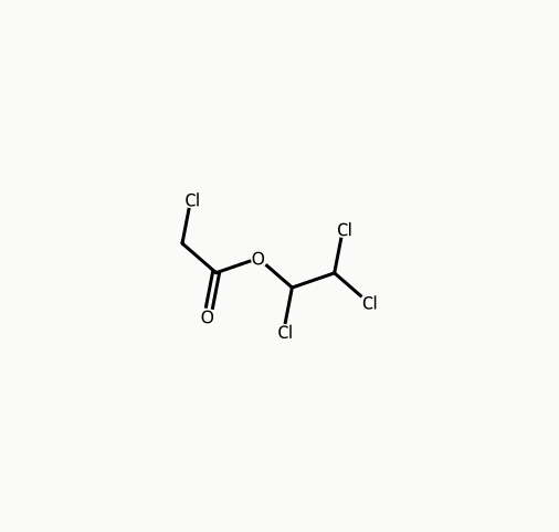 O=C(CCl)OC(Cl)C(Cl)Cl